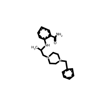 CC(CN1CCN(Cc2ccccc2)CC1)Nc1ccccc1C(N)=O